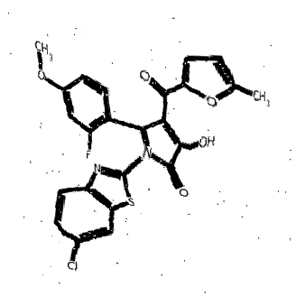 COc1ccc(C2C(C(=O)c3ccc(C)o3)=C(O)C(=O)N2c2nc3ccc(Cl)cc3s2)c(F)c1